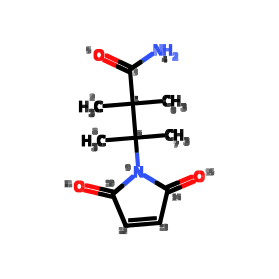 CC(C)(C(N)=O)C(C)(C)N1C(=O)C=CC1=O